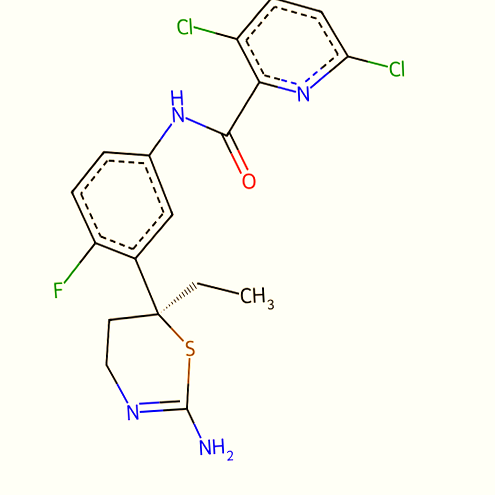 CC[C@@]1(c2cc(NC(=O)c3nc(Cl)ccc3Cl)ccc2F)CCN=C(N)S1